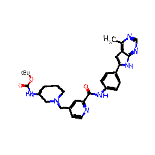 Cc1ncnc2[nH]c(-c3ccc(NC(=O)c4cc(CN5CCCC(NC(=O)OC(C)(C)C)C5)ccn4)cc3)cc12